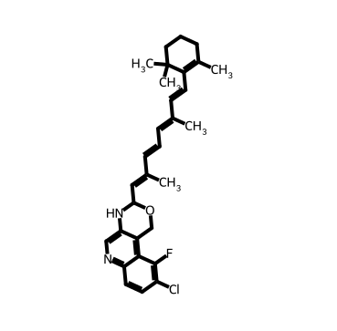 CC1=C(/C=C/C(C)=C/C=C/C(C)=C/C2Nc3cnc4ccc(Cl)c(F)c4c3CO2)C(C)(C)CCC1